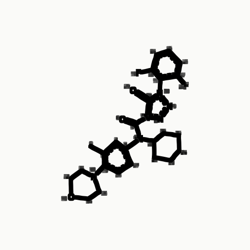 Cc1cc(N(C(=O)n2nnn(-c3c(F)cccc3F)c2=O)C2CCCCC2)ccc1N1CCOCC1